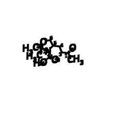 CC(=O)CCC1COC(C)(C)N1C(=O)O